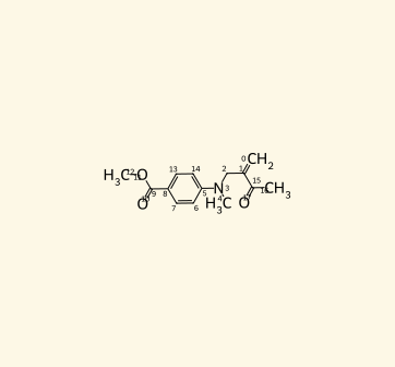 C=C(CN(C)c1ccc(C(=O)OC)cc1)C(C)=O